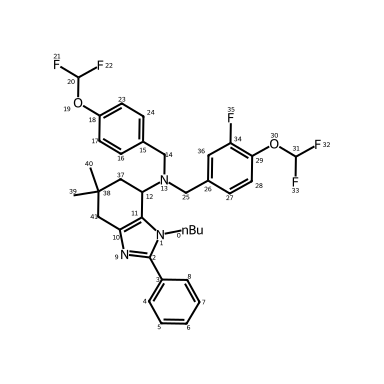 CCCCn1c(-c2ccccc2)nc2c1C(N(Cc1ccc(OC(F)F)cc1)Cc1ccc(OC(F)F)c(F)c1)CC(C)(C)C2